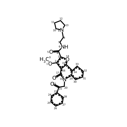 COc1c(C(=O)NCCN2CCCC2)oc2c1c(=O)n(CC(=O)c1ccccc1)c1ccccc21